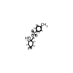 Cc1ccc(S(=O)(=O)OCC2(O)CCC(F)(F)CC2)cc1